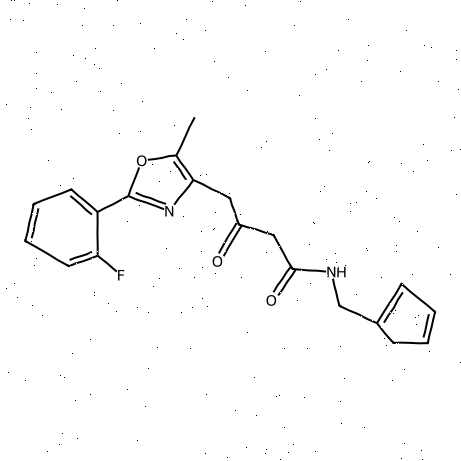 Cc1oc(-c2ccccc2F)nc1CC(=O)CC(=O)NCC1=CC=CC1